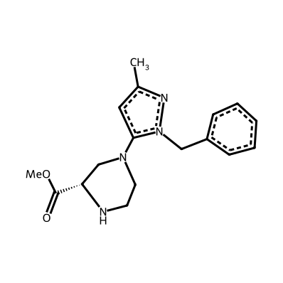 COC(=O)[C@@H]1CN(c2cc(C)nn2Cc2ccccc2)CCN1